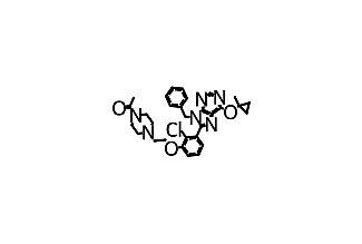 CC(=O)N1CCN(CCOc2cccc(-c3nc4c(OC5(C)CC5)ncnc4n3Cc3ccccc3)c2Cl)CC1